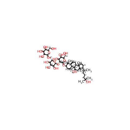 C[C@H](CCCC(C)(C)O)C1CC[C@@]2(C)C3CC=C4C(CC[C@H](O[C@@H]5O[C@H](CO)[C@@H](O)[C@H](O)[C@H]5O[C@H]5O[C@@H](CO[C@@H]6O[C@H](CO)[C@@H](O)[C@H](O)[C@H]6O)[C@H](O)[C@@H](O)[C@@H]5O)C4(C)C)[C@]3(C)[C@H](O)C[C@]12C